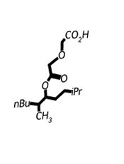 CCCCC(C)C(CCC(C)C)OC(=O)COCC(=O)O